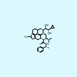 C[C@H](NC(=O)C[C@@H](Cc1csc(N)n1)C(=O)N(CC(=O)N(C)C)[C@@H](CC1CCCCC1)[C@@H](O)[C@@H](O)C1CC1)c1ccccc1